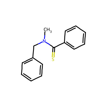 CN(Cc1ccccc1)C(=S)c1ccccc1